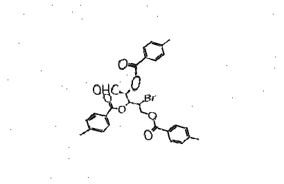 Cc1ccc(C(=O)OC[C@H](Br)[C@@H](OC(=O)c2ccc(C)cc2)[C@@H](C=O)OC(=O)c2ccc(C)cc2)cc1